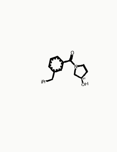 CC(C)Cc1cccc(C(=O)N2CC[C@@H](O)C2)c1